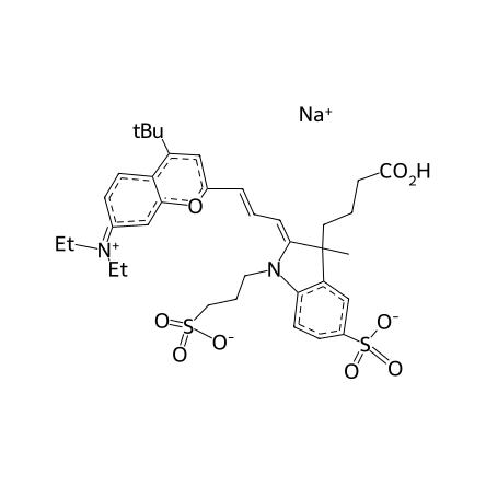 CC[N+](CC)=c1ccc2c(C(C)(C)C)cc(C=CC=C3N(CCCS(=O)(=O)[O-])c4ccc(S(=O)(=O)[O-])cc4C3(C)CCCC(=O)O)oc-2c1.[Na+]